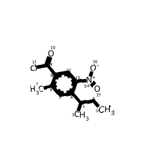 CCC(C)c1cc(C)c(C(=O)Cl)cc1[N+](=O)[O-]